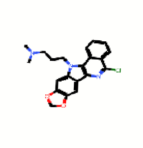 CN(C)CCCn1c2cc3c(cc2c2nc(Cl)c4ccccc4c21)OCO3